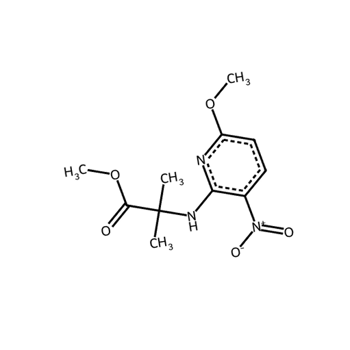 COC(=O)C(C)(C)Nc1nc(OC)ccc1[N+](=O)[O-]